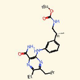 CCc1nc(C(N)=O)c(Nc2cccc([C@@H](C)CNC(=O)OC(C)(C)C)c2)nc1CC(C)C